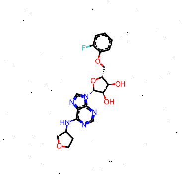 O[C@@H]1[C@H](O)[C@@H](COc2ccccc2F)O[C@H]1n1cnc2c(NC3CCOC3)ncnc21